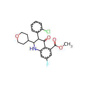 COC(=O)c1cc(F)cc2c1C(=O)C(c1ccccc1Cl)C(C1CCOCC1)N2